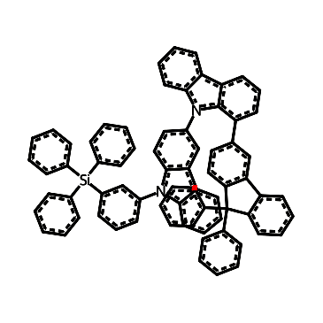 c1ccc(C2(c3ccccc3)c3ccccc3-c3cc(-c4cccc5c6ccccc6n(-c6ccc7c(c6)c6ccccc6n7-c6cccc([Si](c7ccccc7)(c7ccccc7)c7ccccc7)c6)c45)ccc32)cc1